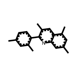 Cc1ccc(-c2nc3cc(C)cc(C)c3cc2C)c(C)c1